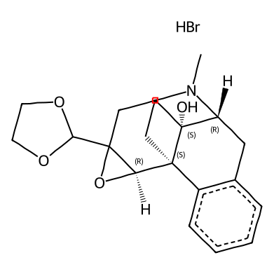 Br.CN1CC[C@@]23c4ccccc4C[C@@H]1[C@]2(O)CCC1(C2OCCO2)O[C@@H]13